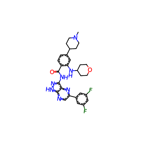 CN1CCC(c2ccc(C(=O)Nc3n[nH]c4ncc(-c5cc(F)cc(F)c5)nc34)c(NC3CCOCC3)c2)CC1